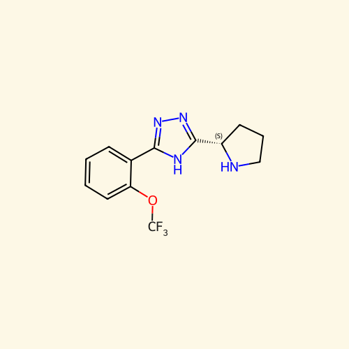 FC(F)(F)Oc1ccccc1-c1nnc([C@@H]2CCCN2)[nH]1